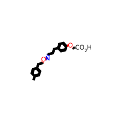 Cc1ccc(CCON=CCCc2ccc(OCC(=O)O)cc2)cc1